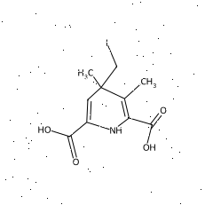 CC1=C(C(=O)O)NC(C(=O)O)=CC1(C)CI